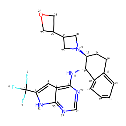 FC(F)(F)c1cc2c(N[C@H]3c4ccccc4CC[C@@H]3N3CC(C4COC4)C3)ncnc2[nH]1